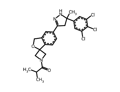 CC(C)C(=O)N1CC2(C1)OCc1cc(C3=NNC(C)(c4cc(Cl)c(Cl)c(Cl)c4)C3)ccc12